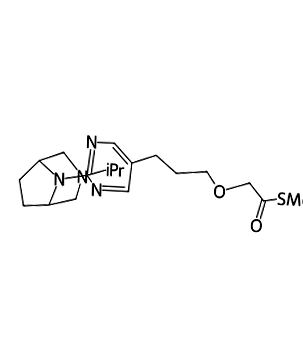 CSC(=O)COCCCc1cnc(N2C3CCC2CN(C(C)C)C3)nc1